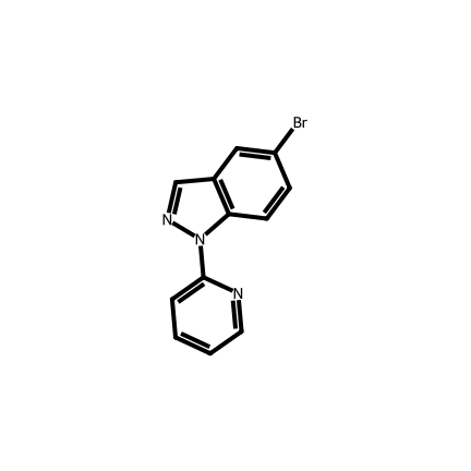 Brc1ccc2c(cnn2-c2ccccn2)c1